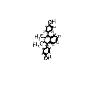 CCC(c1ccc(O)cc1)c1ccccc1C(CC)c1ccc(O)cc1